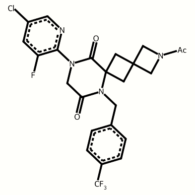 CC(=O)N1CC2(C1)CC1(C2)C(=O)N(c2ncc(Cl)cc2F)CC(=O)N1Cc1ccc(C(F)(F)F)cc1